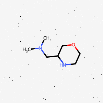 CN(C)[CH]C1COCCN1